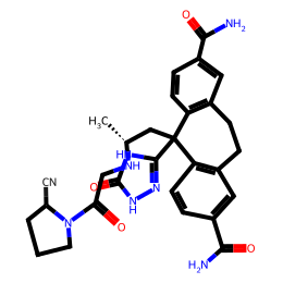 C[C@H](CC1(c2n[nH]c(=O)[nH]2)c2ccc(C(N)=O)cc2CCc2cc(C(N)=O)ccc21)NCC(=O)N1CCCC1C#N